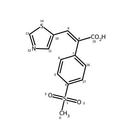 CS(=O)(=O)c1ccc(/C(=C\c2cncs2)C(=O)O)cc1